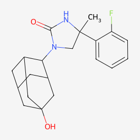 CC1(c2ccccc2F)CN(C2C3CC4CC2CC(O)(C4)C3)C(=O)N1